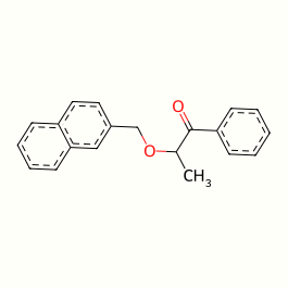 CC(OCc1ccc2ccccc2c1)C(=O)c1ccccc1